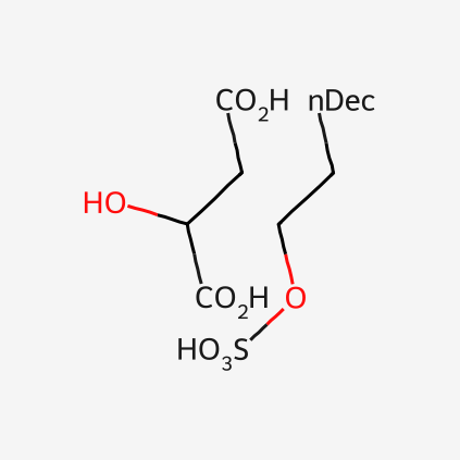 CCCCCCCCCCCCOS(=O)(=O)O.O=C(O)CC(O)C(=O)O